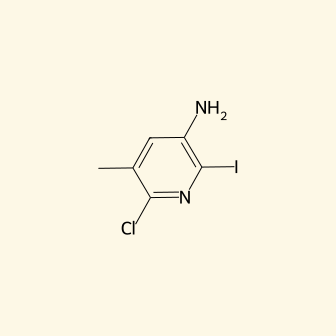 Cc1cc(N)c(I)nc1Cl